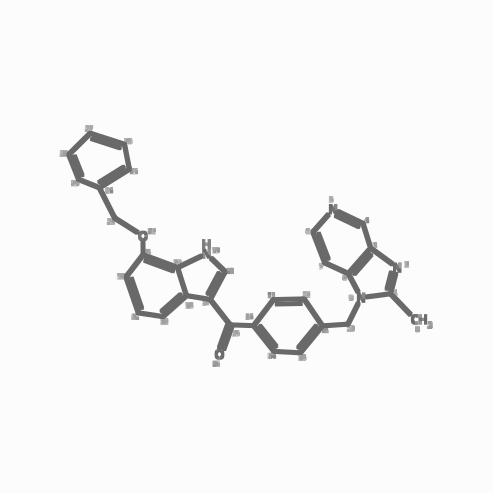 Cc1nc2cnccc2n1Cc1ccc(C(=O)c2c[nH]c3c(OCc4ccccc4)cccc23)cc1